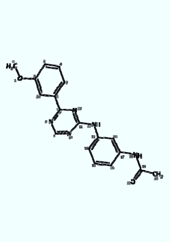 COc1cccc(-c2ncnc(Nc3cccc(NC(C)=O)c3)n2)c1